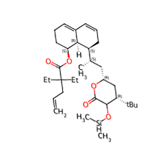 C=CCC(CC)(CC)C(=O)O[C@H]1CCC=C2C=CC[C@@H]([C@@H](C)C[C@@H]3C[C@H](C(C)(C)C)C(O[SiH](C)C)C(=O)O3)[C@H]21